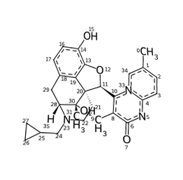 Cc1ccc2nc(=O)c(C)c([C@@H]3Oc4c(O)ccc5c4[C@@]34CCN(CC3CC3)[C@H](C5)[C@@]4(C)O)n2c1